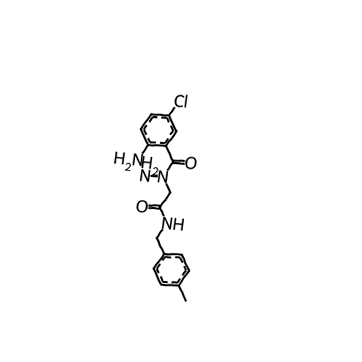 Cc1ccc(CNC(=O)CN(N)C(=O)c2cc(Cl)ccc2N)cc1